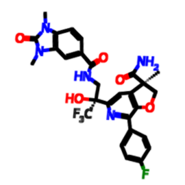 Cn1c(=O)n(C)c2cc(C(=O)NC[C@](O)(c3cc4c(c(-c5ccc(F)cc5)n3)OC[C@]4(C)C(N)=O)C(F)(F)F)ccc21